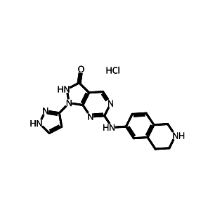 Cl.O=c1[nH]n(-c2cc[nH]n2)c2nc(Nc3ccc4c(c3)CCNC4)ncc12